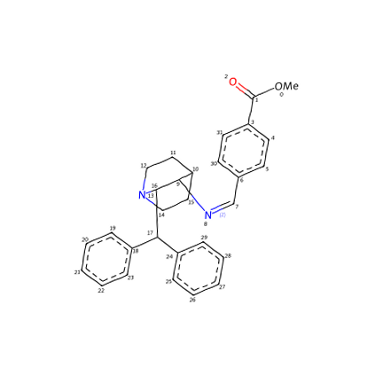 COC(=O)c1ccc(/C=N\C2C3CCN(CC3)C2C(c2ccccc2)c2ccccc2)cc1